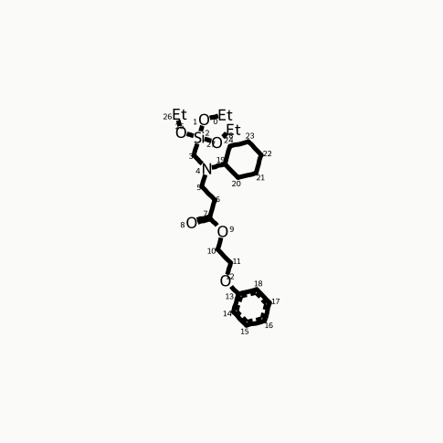 CCO[Si](CN(CCC(=O)OCCOc1ccccc1)C1CCCCC1)(OCC)OCC